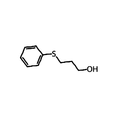 OCCCSc1ccccc1